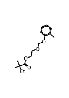 CCC(C)(C)C(=O)OCCOCOc1ccccc1C